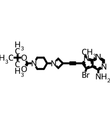 Cn1c(C#CC2CN(C3CCN(C(=O)OC(C)(C)C)CC3)C2)c(Br)c2c(N)ncnc21